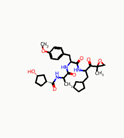 COc1ccc(CC(NC(=O)C(C)NC(=O)[C@@H]2CC[C@H](O)C2)C(=O)NC(CC2CCCC2)C(=O)C2(C)CO2)cc1